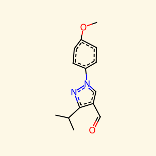 COc1ccc(-n2cc(C=O)c(C(C)C)n2)cc1